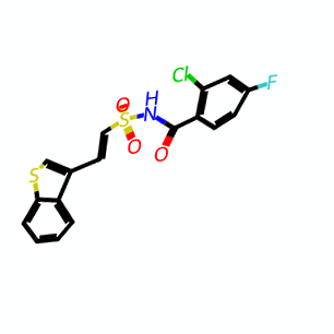 O=C(NS(=O)(=O)/C=C/c1csc2ccccc12)c1ccc(F)cc1Cl